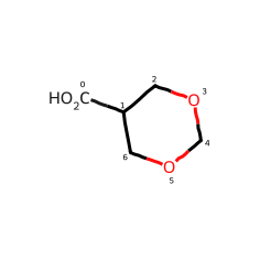 O=C(O)C1COCOC1